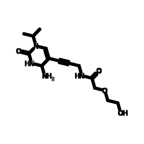 CC(C)N1C=C(C#CCNC(=O)COCCO)C(N)NC1=O